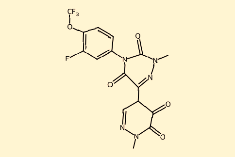 CN1N=CC(c2nn(C)c(=O)n(-c3ccc(OC(F)(F)F)c(F)c3)c2=O)C(=O)C1=O